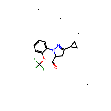 O=CC1CC(C2CC2)=NN1c1ccccc1OC(F)(F)F